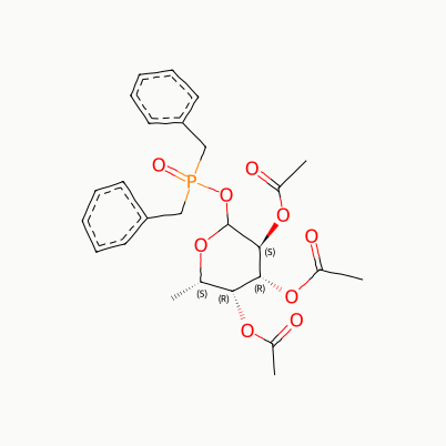 CC(=O)O[C@@H]1[C@H](OC(C)=O)[C@H](C)OC(OP(=O)(Cc2ccccc2)Cc2ccccc2)[C@H]1OC(C)=O